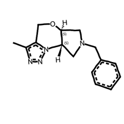 Cc1nnn2c1CO[C@H]1CN(Cc3ccccc3)C[C@@H]12